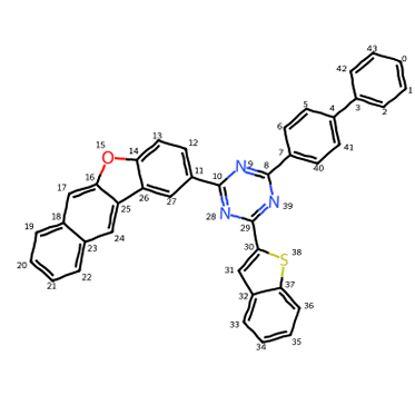 c1ccc(-c2ccc(-c3nc(-c4ccc5oc6cc7ccccc7cc6c5c4)nc(-c4cc5ccccc5s4)n3)cc2)cc1